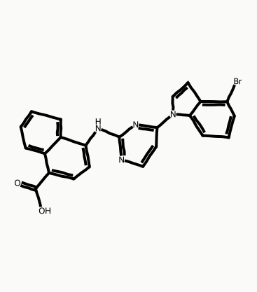 O=C(O)c1ccc(Nc2nccc(-n3ccc4c(Br)cccc43)n2)c2ccccc12